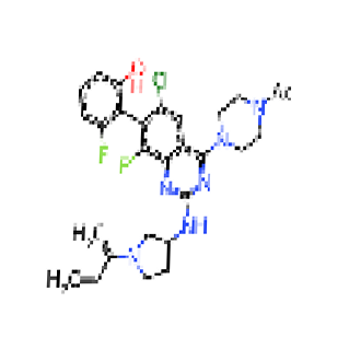 C=CC(=C)N1CCC(Nc2nc(N3CCN(C(C)=O)CC3)c3cc(Cl)c(-c4c(O)cccc4F)c(F)c3n2)C1